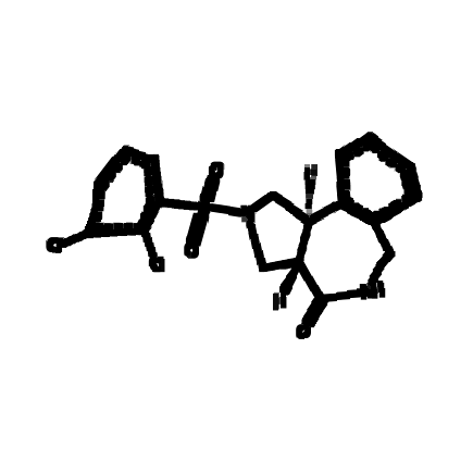 O=C1NCc2ccccc2[C@@H]2CN(S(=O)(=O)c3cccc(Cl)c3Cl)C[C@@H]12